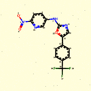 O=[N+]([O-])c1ccc(Nc2ncc(-c3ccc(C(F)(F)F)cc3)o2)cn1